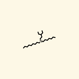 CCCCCCCCCN(CCCCCCC)CCC(CC)CC